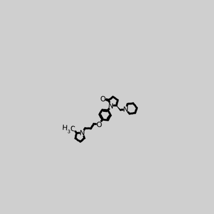 CC1CCCN1CCCOc1ccc(N2C(=O)CC[C@H]2CN2CCCCC2)cc1